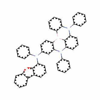 c1ccc(N2c3ccccc3B3c4ccc(N(c5ccccc5)c5cccc6c5oc5ccccc56)cc4N(c4ccccc4)c4cccc2c43)cc1